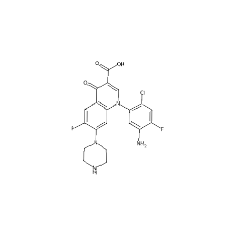 Nc1cc(-n2cc(C(=O)O)c(=O)c3cc(F)c(N4CCNCC4)cc32)c(Cl)cc1F